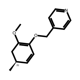 COC1=C(OCc2ccncc2)C=C[C@@H](C)C1